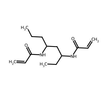 C=CC(=O)NC(CC)CC(CCC)NC(=O)C=C